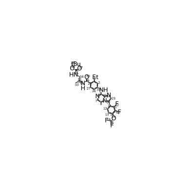 CCc1cc(Nc2nccn3c(-c4ccc(OC(F)F)c(F)c4F)cnc23)ccc1C(=O)N[C@@H](C)CNC(=O)OC(C)(C)C